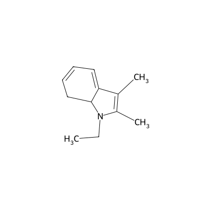 CCN1C(C)=C(C)C2=CC=CCC21